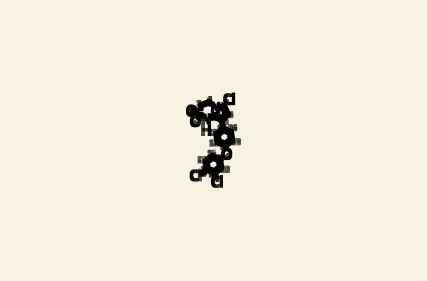 O=S1(=O)CCn2c(Cl)cc(-c3ccc(Oc4ccc(Cl)c(Cl)c4)cc3)c2N1